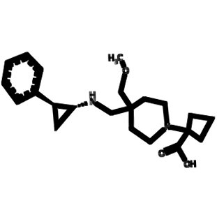 COCC1(CN[C@@H]2C[C@H]2c2ccccc2)CCN(C2(C(=O)O)CCC2)CC1